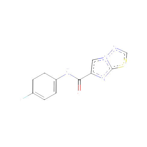 C[C@@H]1CC(NC(=O)c2cn3ncsc3n2)=CC=C1F